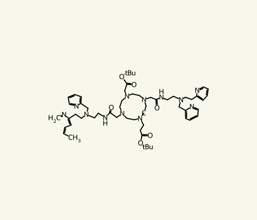 C=N/C(=C\C=C/C)CCN(CCNC(=O)CN1CCN(CCC(=O)OC(C)(C)C)CCN(CC(=O)NCCN(CCc2ccccn2)Cc2ccccn2)CCN(CC(=O)OC(C)(C)C)CC1)Cc1ccccn1